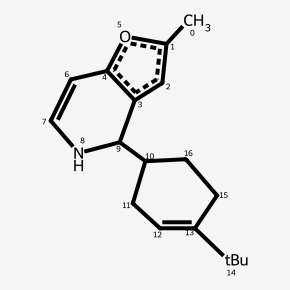 Cc1cc2c(o1)C=CNC2C1CC=C(C(C)(C)C)CC1